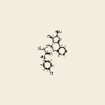 CCC(SC1=Nc2ccccc2C2=NC(C(C)CC)C(=O)N12)C(=O)Nc1ccc(Cl)cc1